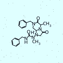 CC1C(=O)N(Cc2ccccc2)C[C@H]2N1C(=O)CN2N(C)C(=O)NCc1ccccc1